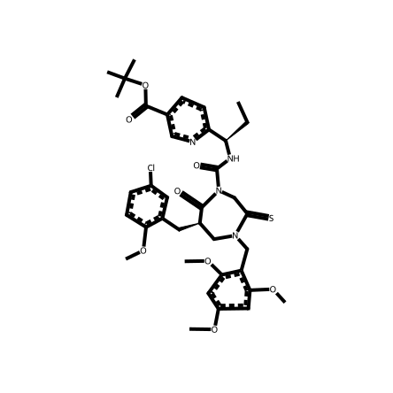 CC[C@@H](NC(=O)N1CC(=S)N(Cc2c(OC)cc(OC)cc2OC)C[C@@H](Cc2cc(Cl)ccc2OC)C1=O)c1ccc(C(=O)OC(C)(C)C)cn1